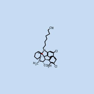 CN1[C@@H](C(=O)O)[C@H](c2cccc(Cl)c2F)[C@]2(C(=O)N(CCCCCCCC#N)c3cc(Cl)ccc32)C12CCCCC2